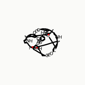 C[C@@]12C3=CC4CC(=C3)OCOc3cc5cc(c3)[C@@](C)(c3ccc1[nH]3)c1ccc([nH]1)[C@]1(C)c3cc(cc(c3)OP(=O)(c3ccccc3)O5)OCOc3cc(cc(c3)[C@](C)(c3ccc2[nH]3)c2ccc1[nH]2)OCO4